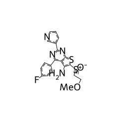 COCC[S@@+]([O-])c1sc2nc(-c3cccnc3)nc(-c3ccc(F)cc3)c2c1N